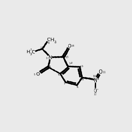 CC(C)N1C(=O)c2ccc([N+](=O)[O-])cc2C1=O